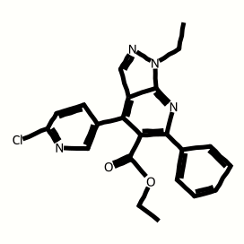 CCOC(=O)c1c(-c2ccccc2)nc2c(cnn2CC)c1-c1ccc(Cl)nc1